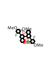 COCOc1c(-c2c(F)cc(OC)cc2F)cc2ccccc2c1-c1c(OCOC)c(-c2c(F)cc(OC)cc2F)cc2ccccc12